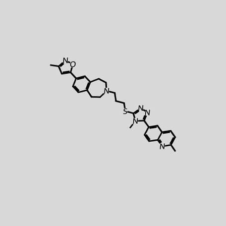 Cc1cc(-c2ccc3c(c2)CCN(CCCSc2nnc(-c4ccc5nc(C)ccc5c4)n2C)CC3)on1